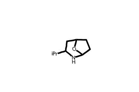 CC(C)C1CC2CCC(N1)O2